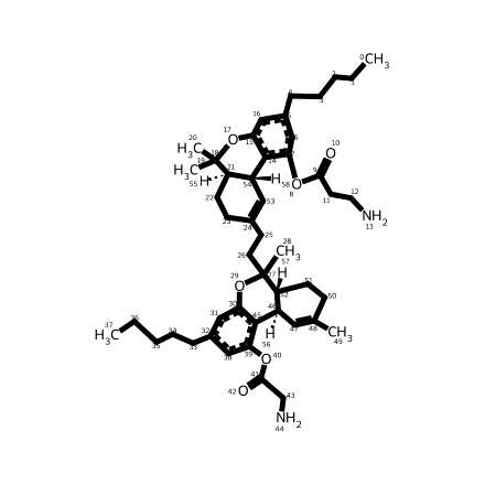 CCCCCc1cc(OC(=O)CCN)c2c(c1)OC(C)(C)[C@@H]1CCC(CCC3(C)Oc4cc(CCCCC)cc(OC(=O)CN)c4[C@@H]4C=C(C)CC[C@H]43)=C[C@@H]21